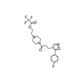 O=C(CCc1cnoc1-c1ccc(F)cc1)N1CCN(CCOC(=O)C(F)(F)F)CC1